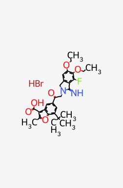 Br.CCOc1cc2c(c(F)c1OCC)C(=N)N(CC(=O)c1cc(C(C)(C)C)c3oc(C)c(C(=O)O)c3c1)C2